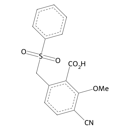 COc1c(C#N)ccc(CS(=O)(=O)c2ccccc2)c1C(=O)O